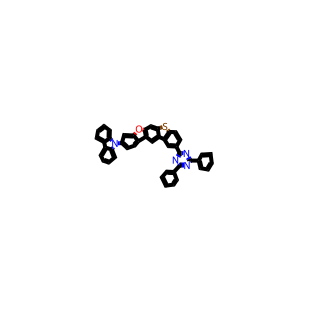 c1ccc(-c2nc(-c3ccccc3)nc(-c3ccc4sc5cc6oc7cc(-n8c9ccccc9c9ccccc98)ccc7c6cc5c4c3)n2)cc1